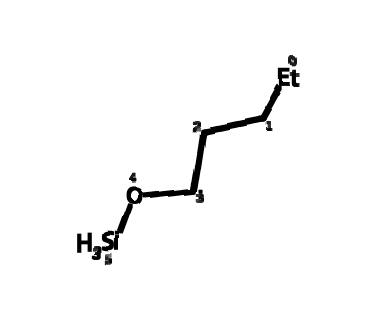 CCCC[CH]O[SiH3]